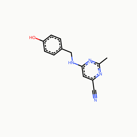 Cc1nc(C#N)cc(NCc2ccc(O)cc2)n1